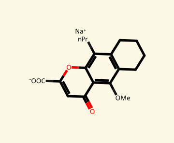 CCCc1c2c(c(OC)c3c(=O)cc(C(=O)[O-])oc13)CCCC2.[Na+]